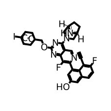 C#Cc1c(F)ccc2cc(O)cc(-c3ncc4c(N5C[C@H]6CC[C@@H](C5)N6)nc(OCC56CCC(I)(CC5)CC6)nc4c3F)c12